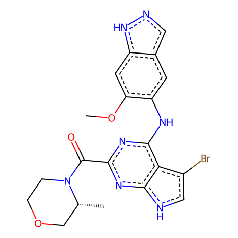 COc1cc2[nH]ncc2cc1Nc1nc(C(=O)N2CCOC[C@H]2C)nc2[nH]cc(Br)c12